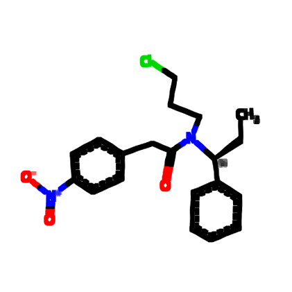 CC[C@@H](c1ccccc1)N(CCCCl)C(=O)Cc1ccc([N+](=O)[O-])cc1